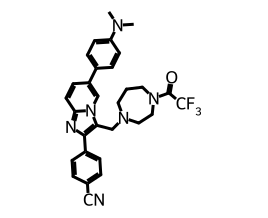 CN(C)c1ccc(-c2ccc3nc(-c4ccc(C#N)cc4)c(CN4CCCN(C(=O)C(F)(F)F)CC4)n3c2)cc1